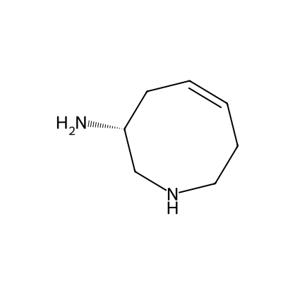 N[C@@H]1CC=CCCNC1